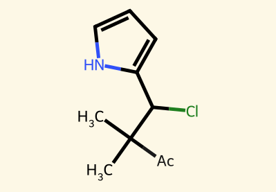 CC(=O)C(C)(C)C(Cl)c1ccc[nH]1